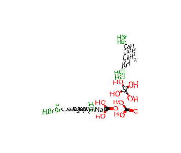 Br.Br.Br.Br.Cl.Cl.Cl.O=C(O)O.O=C(O)O.O[Si](O)(O)O.[CaH2].[CaH2].[CaH2].[CaH2].[CaH2].[CaH2].[KH].[KH].[KH].[NaH]